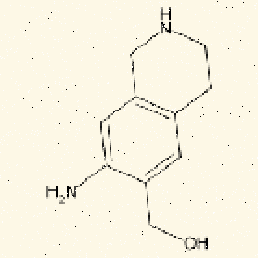 Nc1cc2c(cc1CO)CCNC2